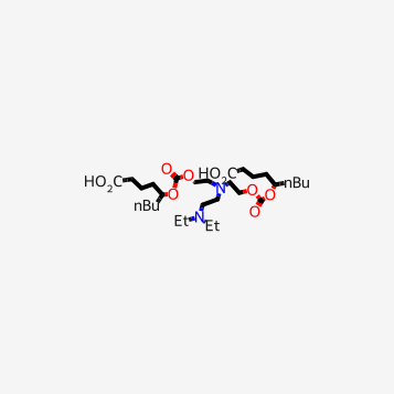 CCCCC(CCCC(=O)O)OC(=O)OCCN(CCOC(=O)OC(CCCC)CCCC(=O)O)CCN(CC)CC